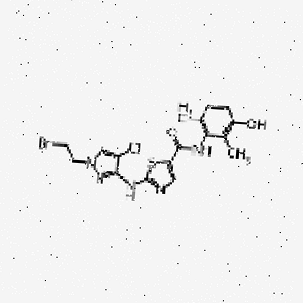 Cc1ccc(O)c(C)c1NC(=O)c1cnc(Nc2nn(CCBr)cc2Cl)s1